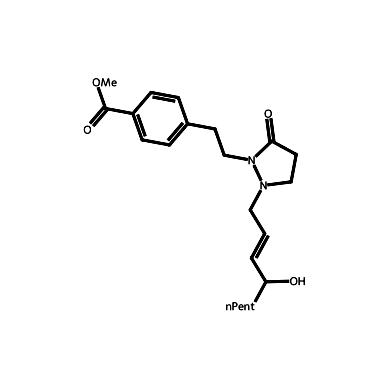 CCCCCC(O)C=CCN1CCC(=O)N1CCc1ccc(C(=O)OC)cc1